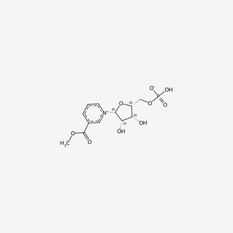 COC(=O)c1ccc[n+]([C@@H]2O[C@H](COP(=O)([O-])O)[C@H](O)[C@@H]2O)c1